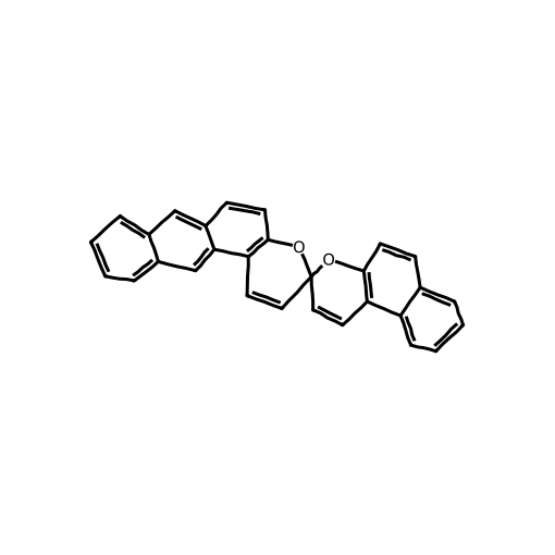 C1=CC2(C=Cc3c(ccc4cc5ccccc5cc34)O2)Oc2ccc3ccccc3c21